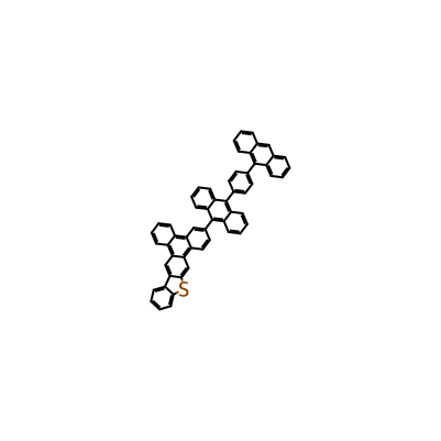 c1ccc2c(-c3ccc(-c4c5ccccc5c(-c5ccc6c(c5)c5ccccc5c5cc7c(cc65)sc5ccccc57)c5ccccc45)cc3)c3ccccc3cc2c1